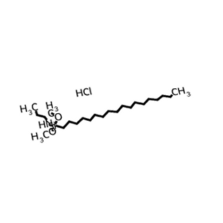 CCCCCCCCCCCCCCCCCC[Si](NCCC)(OC)OC.Cl